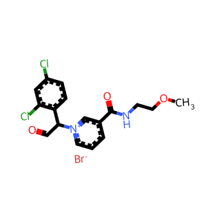 COCCNC(=O)c1ccc[n+](C(C=O)c2ccc(Cl)cc2Cl)c1.[Br-]